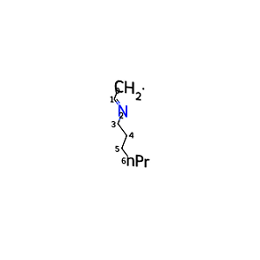 [CH2]C=NCCCCCC